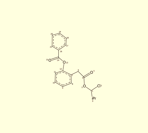 CC(C)C(Cl)OC(=O)Cc1ccccc1OC(=O)c1ccccc1